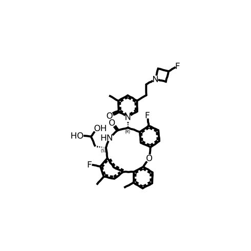 Cc1cc2cc(c1F)[C@H](CC(O)O)NC(=O)[C@H](n1cc(CCN3CC(F)C3)cc(C)c1=O)c1cc(ccc1F)Oc1cccc(C)c1-2